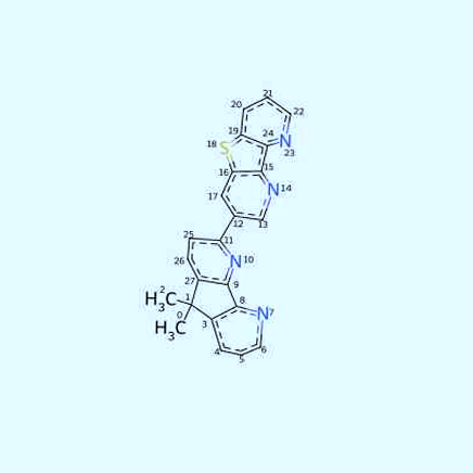 CC1(C)c2cccnc2-c2nc(-c3cnc4c(c3)sc3cccnc34)ccc21